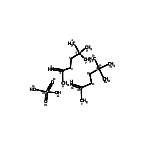 CS(=N)CC[Si](C)(C)C.CS(=N)CC[Si](C)(C)C.O=S(=O)(O)O